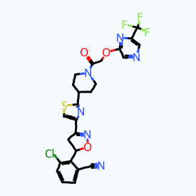 N#Cc1cccc(Cl)c1C1CC(c2csc(C3CCN(C(=O)COc4cncc(C(F)(F)F)n4)CC3)n2)=NO1